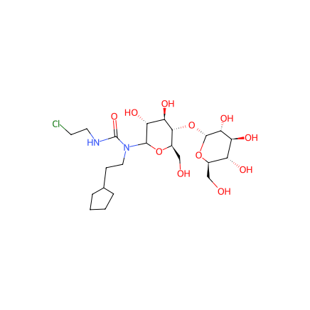 O=C(NCCCl)N(CCC1CCCC1)C1O[C@H](CO)[C@@H](O[C@H]2O[C@H](CO)[C@@H](O)[C@H](O)[C@H]2O)[C@H](O)[C@H]1O